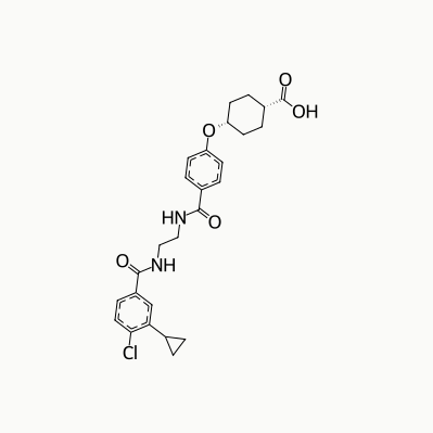 O=C(NCCNC(=O)c1ccc(Cl)c(C2CC2)c1)c1ccc(O[C@H]2CC[C@@H](C(=O)O)CC2)cc1